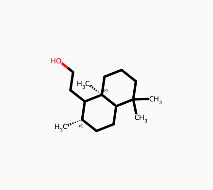 C[C@H]1CCC2C(C)(C)CCC[C@]2(C)C1CCO